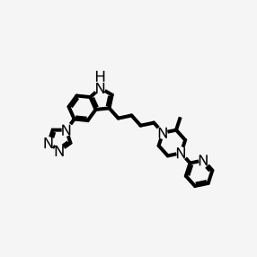 CC1CN(c2ccccn2)CCN1CCCCc1c[nH]c2ccc(-n3cnnc3)cc12